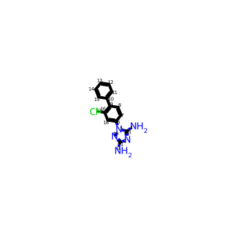 Nc1nc(N)n(-c2ccc(-c3ccccc3)c(Cl)c2)n1